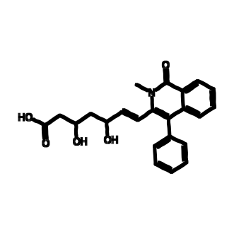 Cn1c(C=CC(O)CC(O)CC(=O)O)c(-c2ccccc2)c2ccccc2c1=O